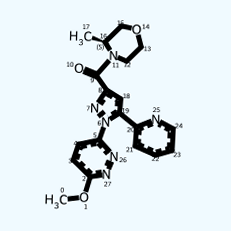 COc1ccc(-n2nc(C(=O)N3CCOC[C@@H]3C)cc2-c2ccccn2)nn1